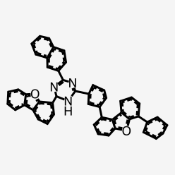 c1ccc(-c2cccc3c2oc2cccc(-c4cccc(C5=NC(c6ccc7ccccc7c6)=NC(c6cccc7c6oc6ccccc67)N5)c4)c23)cc1